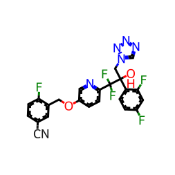 N#Cc1ccc(F)c(COc2ccc(C(F)(F)C(O)(Cn3cnnn3)c3ccc(F)cc3F)nc2)c1